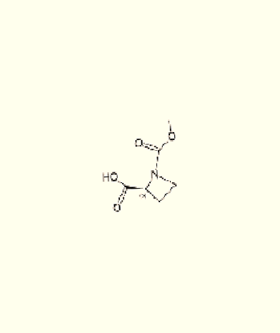 COC(=O)N1CC[C@H]1C(=O)O